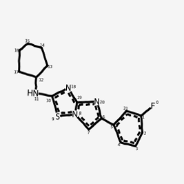 Fc1cccc(-c2cn3sc(NC4CCCCC4)nc3n2)c1